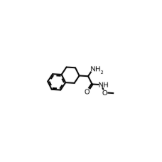 CONC(=O)C(N)C1CCc2ccccc2C1